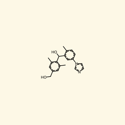 Cc1ccc(-n2ccnc2)cc1C(O)c1c(C)cc(CO)cc1C